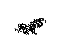 CNc1cccnc1CNC(=O)c1nc(-c2ccc(=O)n(C)c2)c(-c2ncco2)nc1N